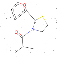 CC(C)C(=O)N1CCSC1c1ccco1